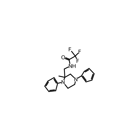 CC1(CNC(=O)C(F)(F)F)CN(c2ccccc2)CCN1c1ccccc1